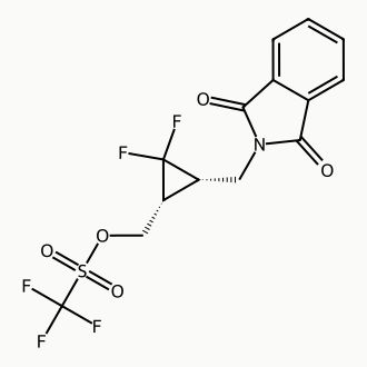 O=C1c2ccccc2C(=O)N1C[C@@H]1[C@H](COS(=O)(=O)C(F)(F)F)C1(F)F